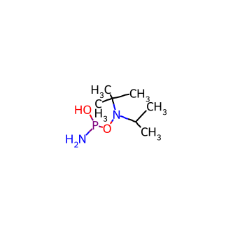 CC(C)N(OP(N)O)C(C)(C)C